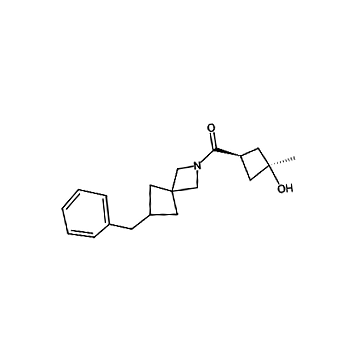 C[C@]1(O)C[C@@H](C(=O)N2CC3(CC(Cc4ccccc4)C3)C2)C1